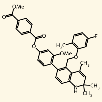 COC(=O)c1ccc(C(=O)Oc2ccc(-c3ccc4c(c3COc3cc(F)ccc3C)C(C)=CC(C)(C)N4)c(OC)c2)cc1